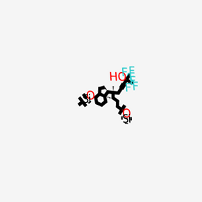 CC(C)(CCC[C@](C)(CC#CC(O)(C(F)(F)F)C(F)(F)F)[C@H]1CCC2[C@@H](O[Si](C)(C)C(C)(C)C)CCC[C@@]21C)O[Si](C)(C)C